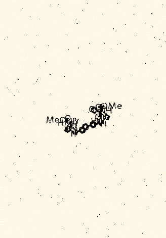 COC(=O)NC(C(=O)N1CCC[C@H]1c1ncc(-c2ccc(-c3ccc4cc(-c5cnc([C@@H]6CCCN6C(=O)C(NC(=O)OC)C(C)C)[nH]5)ccc4c3)cc2)[nH]1)=C1CCOCC1